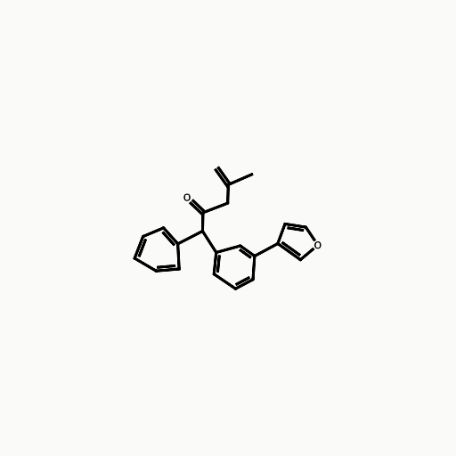 C=C(C)CC(=O)C(c1ccccc1)c1cccc(-c2ccoc2)c1